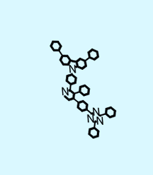 c1ccc(-c2ccc3c(c2)c2cc(-c4ccccc4)ccc2n3-c2ccc(-c3nccc(-c4ccc(-c5nc(-c6ccccc6)nc(-c6ccccc6)n5)cc4)c3-c3ccccc3)cc2)cc1